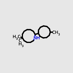 CC1CCCCCC(C2CCCCCC(C)(C)CCCCN2)CCCC1